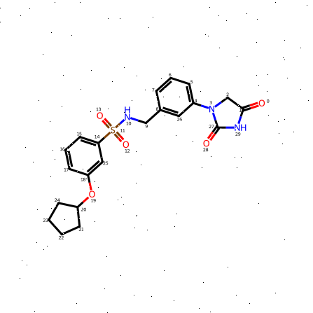 O=C1CN(c2cccc(CNS(=O)(=O)c3cccc(OC4CCCC4)c3)c2)C(=O)N1